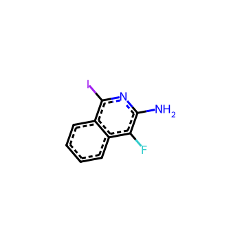 Nc1nc(I)c2ccccc2c1F